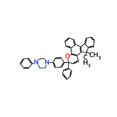 CC1(C)c2ccccc2-c2c1c1c(c3ccccc23)OC(c2ccccc2)(c2ccc(N3CCN(c4ccccc4)CC3)cc2)C=C1